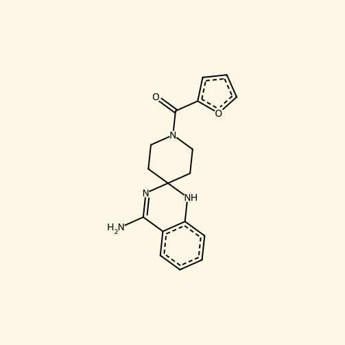 NC1=NC2(CCN(C(=O)c3ccco3)CC2)Nc2ccccc21